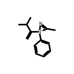 C=C(C(C)C)[N+]1(c2ccccc2)N=C1C